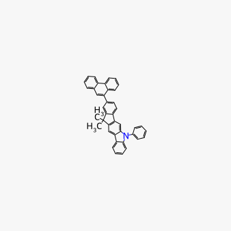 CC1(C)c2cc(-c3cc4ccccc4c4ccccc34)ccc2-c2cc3c(cc21)c1ccccc1n3-c1ccccc1